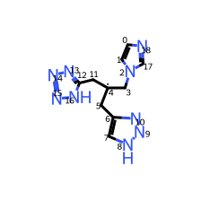 c1cn(C[C](Cc2c[nH]nn2)Cc2nnn[nH]2)cn1